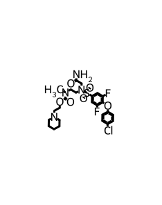 CN(CCN(CC(N)=O)S(=O)(=O)c1cc(F)c(Oc2ccc(Cl)cc2)c(F)c1)C(=O)OCCN1CCCCC1